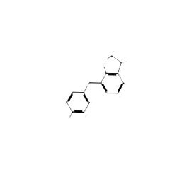 Oc1ccc(Cc2cccc3c2OCC3)cc1